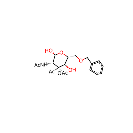 CC(=O)N[C@@H]1[C@@H](O)O[C@H](COCc2ccccc2)[C@@H](O)[C@@]1(OC(C)=O)C(C)=O